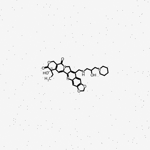 CC[C@@]1(O)C(=O)OCc2c1cc1n(c2=O)Cc2c-1nc1cc3c(cc1c2CNCC(O)CN1CCCCC1)OCO3